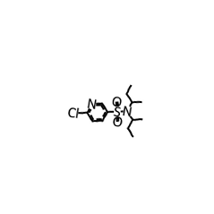 CCC(C)N(C(C)CC)S(=O)(=O)c1ccc(Cl)nc1